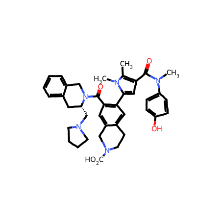 Cc1c(C(=O)N(C)c2ccc(O)cc2)cc(-c2cc3c(cc2C(=O)N2Cc4ccccc4C[C@H]2CN2CCCC2)CN(C(=O)O)CC3)n1C